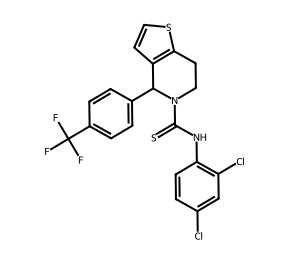 FC(F)(F)c1ccc(C2c3ccsc3CCN2C(=S)Nc2ccc(Cl)cc2Cl)cc1